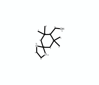 CC1(C)CC2(CC(C)(C)C1CO)OCCO2